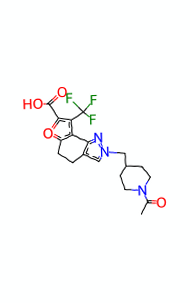 CC(=O)N1CCC(Cn2cc3c(n2)-c2c(oc(C(=O)O)c2C(F)(F)F)CC3)CC1